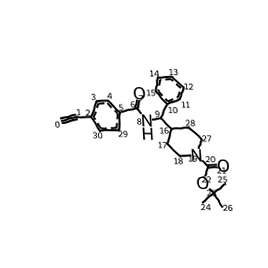 C#Cc1ccc(C(=O)NC(c2ccccc2)C2CCN(C(=O)OC(C)(C)C)CC2)cc1